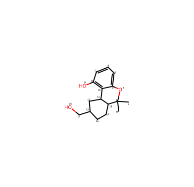 CC1(C)Oc2cccc(O)c2C2CC(CO)CCC21